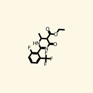 CCOC(=O)C1C(=O)N=C(c2c(F)cccc2C(F)(F)F)NC1C